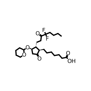 CCCCC(F)(F)C(=O)CC[C@H]1[C@H](OC2CCCCO2)CC(=O)[C@@H]1CCCCCCC(=O)O